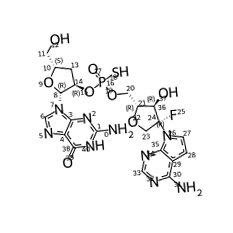 Nc1nc2c(ncn2[C@@H]2O[C@H](CO)C[C@H]2OP(=O)(S)OC[C@H]2OC[C@](F)(n3ccc4c(N)ncnc43)[C@@H]2O)c(=O)[nH]1